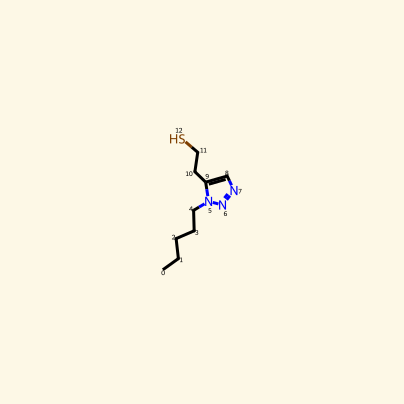 CCCCCn1nncc1CCS